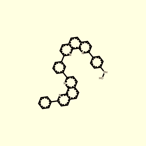 OPc1ccc(-c2ccc3ccc4ccc(-c5cccc(-c6ccc7ccc8ccc(-c9ccccc9)nc8c7n6)c5)nc4c3n2)cc1